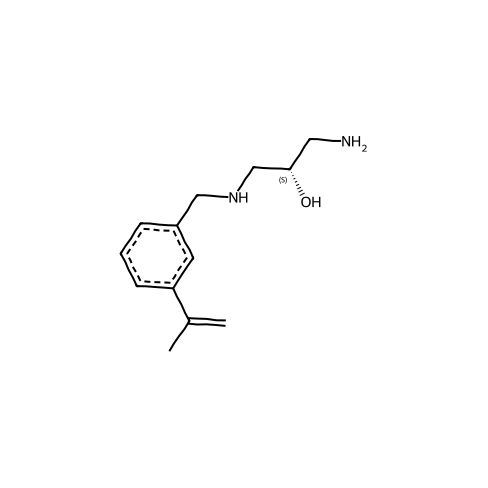 C=C(C)c1cccc(CNC[C@@H](O)CN)c1